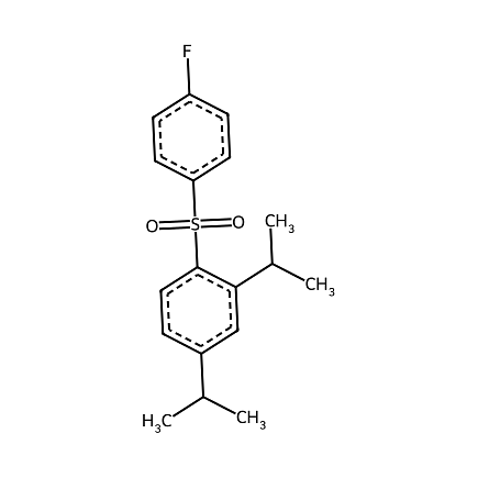 CC(C)c1ccc(S(=O)(=O)c2ccc(F)cc2)c(C(C)C)c1